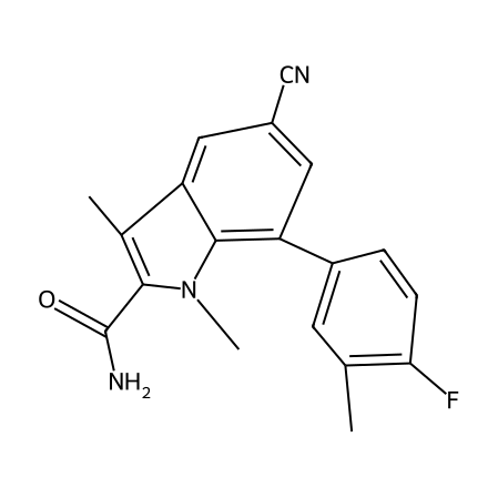 Cc1cc(-c2cc(C#N)cc3c(C)c(C(N)=O)n(C)c23)ccc1F